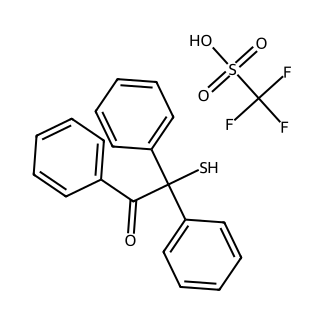 O=C(c1ccccc1)C(S)(c1ccccc1)c1ccccc1.O=S(=O)(O)C(F)(F)F